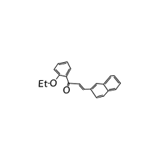 CCOc1ccccc1C(=O)C=Cc1ccc2ccccc2c1